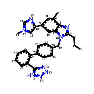 CCCc1nc2c(C)cc(-c3cn(C)cn3)cc2n1Cc1ccc(-c2ccccc2-c2nnn[nH]2)cc1